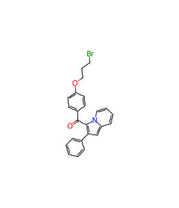 O=C(c1ccc(OCCCBr)cc1)c1c(-c2ccccc2)cc2ccccn12